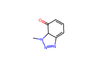 CN1N=NC2=CC=CC(=O)C21